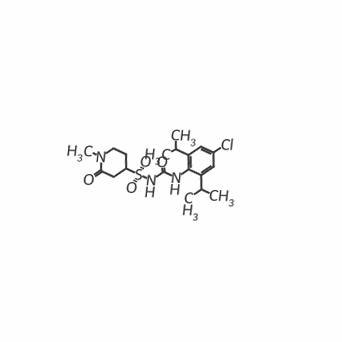 CC(C)c1cc(Cl)cc(C(C)C)c1NC(=O)NS(=O)(=O)C1CCN(C)C(=O)C1